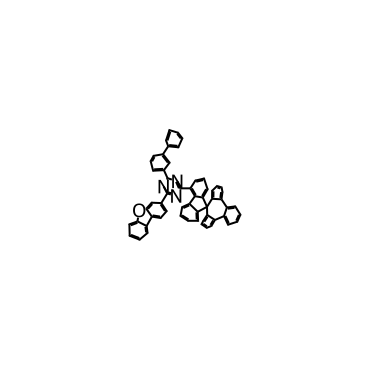 c1ccc(-c2cccc(-c3nc(-c4ccc5c(c4)oc4ccccc45)nc(-c4cccc5c4-c4ccccc4C54c5ccccc5-c5ccccc5-c5ccccc54)n3)c2)cc1